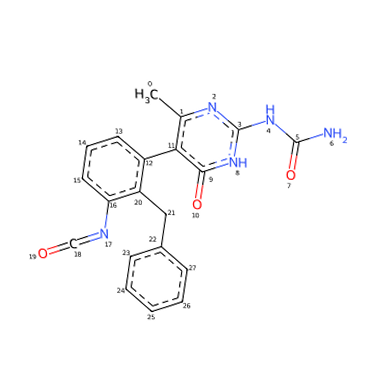 Cc1nc(NC(N)=O)[nH]c(=O)c1-c1cccc(N=C=O)c1Cc1ccccc1